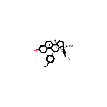 CC#C[C@]1(OC)CC[C@H]2[C@@H]3CCC4=CC(=O)CCC4=C3[C@@H](c3ccc(C(C)=O)cc3)C[C@@]21C